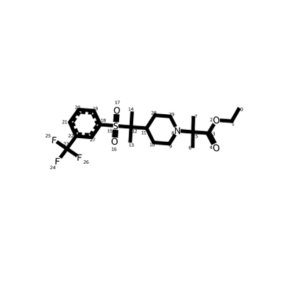 CCOC(=O)C(C)(C)N1CCC(C(C)(C)S(=O)(=O)c2cccc(C(F)(F)F)c2)CC1